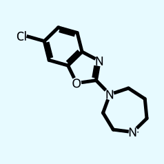 Clc1ccc2nc(N3CCC[N]CC3)oc2c1